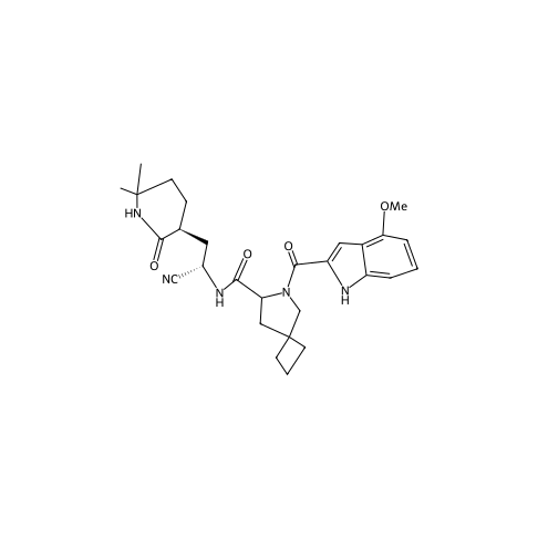 COc1cccc2[nH]c(C(=O)N3CC4(CCC4)CC3C(=O)N[C@H](C#N)C[C@@H]3CCC(C)(C)NC3=O)cc12